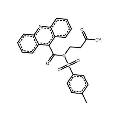 Cc1ccc(S(=O)(=O)N(CCC(=O)O)C(=O)c2c3ccccc3nc3ccccc23)cc1